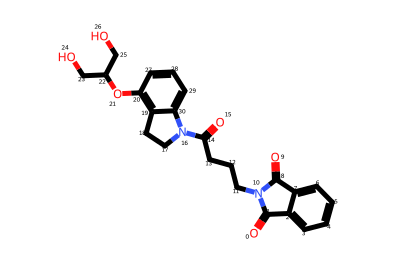 O=C1c2ccccc2C(=O)N1CCCC(=O)N1CCc2c(OC(CO)CO)cccc21